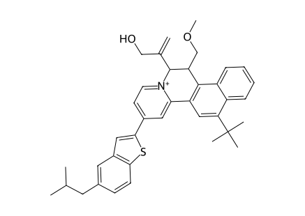 C=C(CO)C1C(COC)c2c(cc(C(C)(C)C)c3ccccc23)-c2cc(-c3cc4cc(CC(C)C)ccc4s3)cc[n+]21